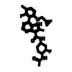 CC(=O)NC1CCC(NC(=O)c2c(C)[nH]c3c(-c4c(OCC5CC5)ccc(C)c4F)ncnc23)CC1F